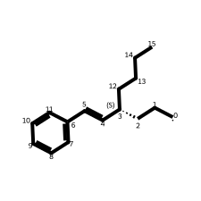 [CH2]CC[C@H](C=Cc1ccccc1)CCCC